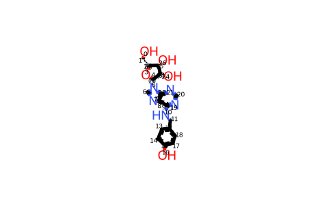 OC[C@H]1O[C@@H](n2cnc3c(NCc4ccc(O)cc4)ncnc32)[C@@H](O)C1O